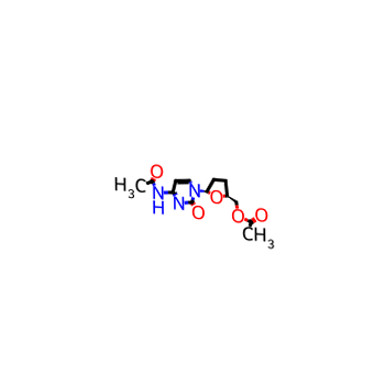 CC(=O)Nc1ccn([C@H]2CC[C@@H](COC(C)=O)O2)c(=O)n1